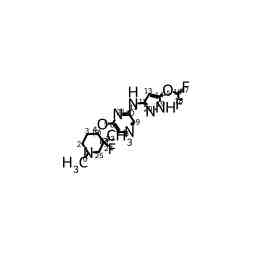 CN1CC[C@H](Oc2cncc(Nc3cc(OC(F)F)[nH]n3)n2)[C@@](C)(F)C1